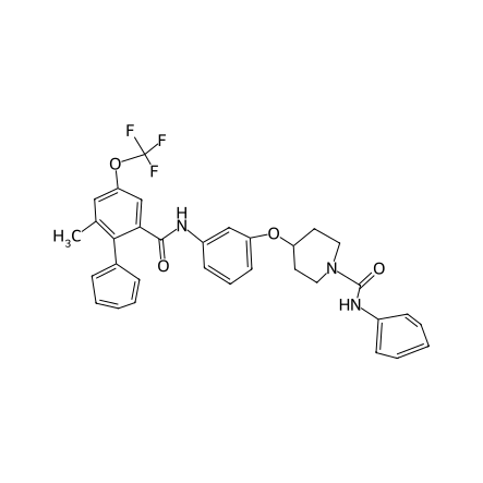 Cc1cc(OC(F)(F)F)cc(C(=O)Nc2cccc(OC3CCN(C(=O)Nc4ccccc4)CC3)c2)c1-c1ccccc1